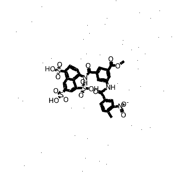 COC(=O)c1cc(NC(=O)c2ccc(C)c([N+](=O)[O-])c2)cc(C(=O)Nc2ccc(S(=O)(=O)O)c3cc(S(=O)(=O)O)cc(S(=O)(=O)O)c23)c1